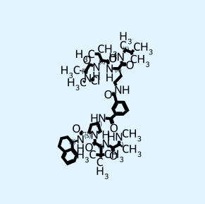 CN[C@@H](C)C(=O)N[C@H](C(=O)N1C[C@@H](NC(=O)c2cccc(C(=O)NCC[C@@H](NC(=O)[C@H](NC(=O)[C@@H](C)N(C)Cl)C(C)C)C(=O)N[C@@H](C)C(C)C)c2)C[C@H]1C(=O)N[C@@H]1CCCc2ccccc21)C(C)(C)C